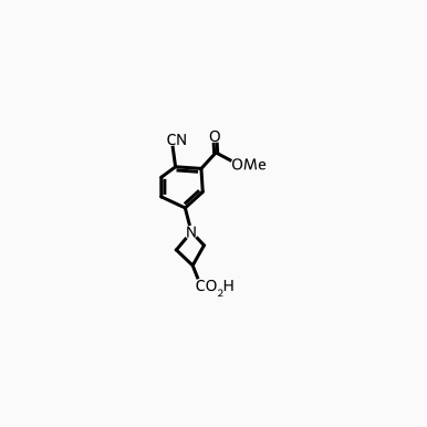 COC(=O)c1cc(N2CC(C(=O)O)C2)ccc1C#N